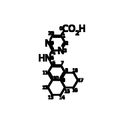 O=C(O)c1cnc(Nc2cc3c4c(c2)CCCC4CCC3)nc1